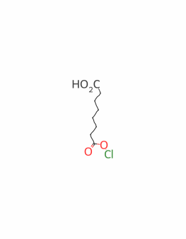 O=C(O)CCCCCCC(=O)OCl